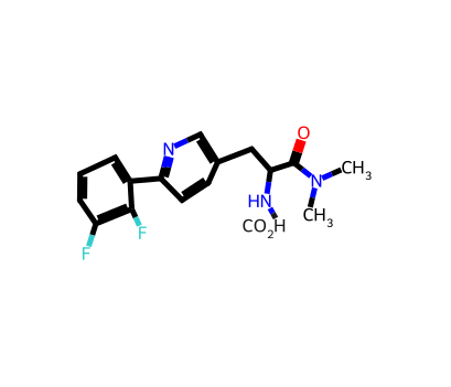 CN(C)C(=O)C(Cc1ccc(-c2cccc(F)c2F)nc1)NC(=O)O